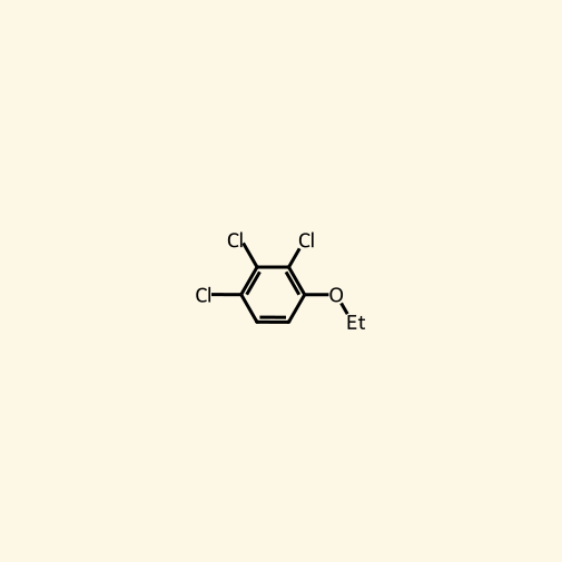 CCOc1ccc(Cl)c(Cl)c1Cl